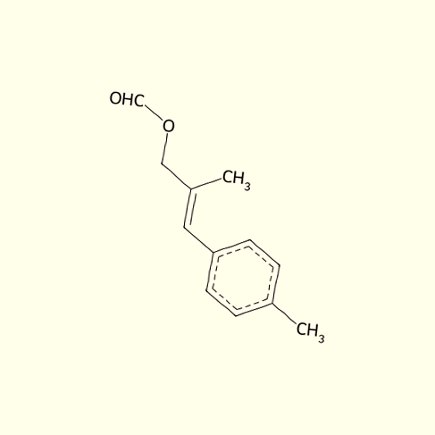 C/C(=C\c1ccc(C)cc1)COC=O